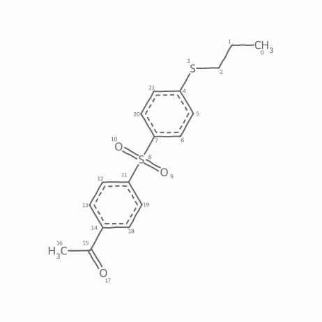 CCCSc1ccc(S(=O)(=O)c2ccc(C(C)=O)cc2)cc1